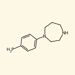 Pc1ccc(N2CCCNCC2)cc1